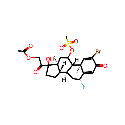 CC(=O)OCC(=O)[C@@]1(O)CC[C@H]2[C@@H]3C[C@@H](F)C4=CC(=O)C(Br)=C[C@]4(C)[C@H]3[C@H](OS(C)(=O)=O)C[C@@]21C